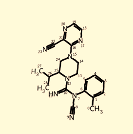 Cc1ccccc1N(C#N)C(=N)N1CCN(c2nccnc2C#N)CC1C(C)C